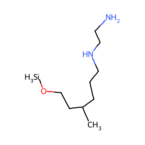 CC(CCCNCCN)CCO[SiH3]